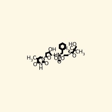 Cc1cn([C@@H]2CC(O)[C@H](COP(=O)(NCc3ccccc3)OCCSC(=O)C(C)(C)CO)O2)c(=O)[nH]c1=O